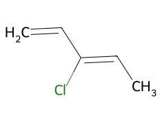 C=CC(Cl)=CC